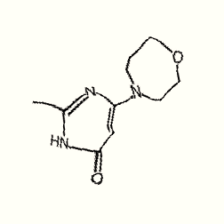 Cc1nc(N2CCOCC2)cc(=O)[nH]1